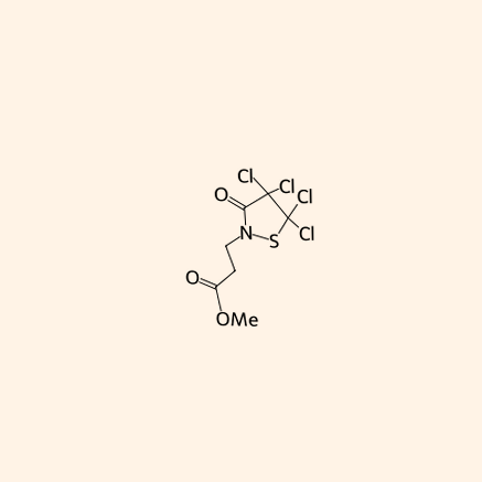 COC(=O)CCN1SC(Cl)(Cl)C(Cl)(Cl)C1=O